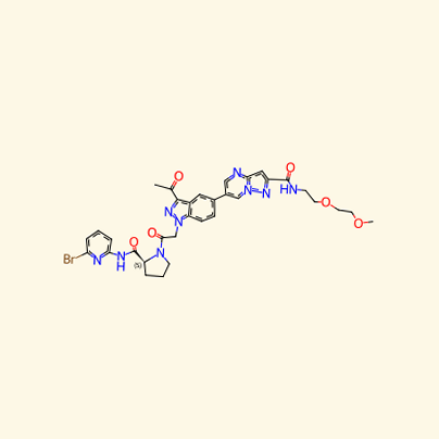 COCCOCCNC(=O)c1cc2ncc(-c3ccc4c(c3)c(C(C)=O)nn4CC(=O)N3CCC[C@H]3C(=O)Nc3cccc(Br)n3)cn2n1